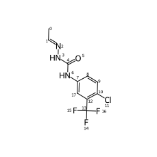 C/C=N/NC(=O)Nc1ccc(Cl)c(C(F)(F)F)c1